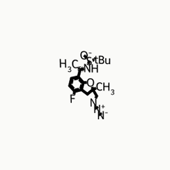 C[C@@H](N[S+]([O-])C(C)(C)C)c1ccc(F)c2c1OC(C)(CN=[N+]=[N-])C2